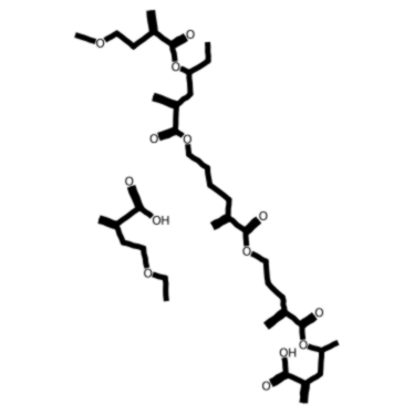 C=C(CC(C)OC(=O)C(=C)CCCOC(=O)C(=C)CCCCOC(=O)C(=C)CC(CC)OC(=O)C(=C)CCOC)C(=O)O.C=C(CCOCC)C(=O)O